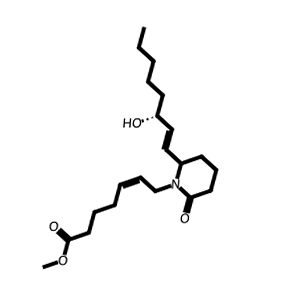 CCCCC[C@@H](O)/C=C/C1CCCC(=O)N1C/C=C\CCCC(=O)OC